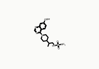 COc1ccc2c(N3CCC(C(C)CNS(N)(=O)=O)CC3)ncnc2c1